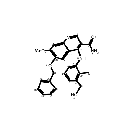 COc1cc2ncc(C(N)=O)c(Nc3cccc(CO)c3C)c2cc1OCc1ccccc1